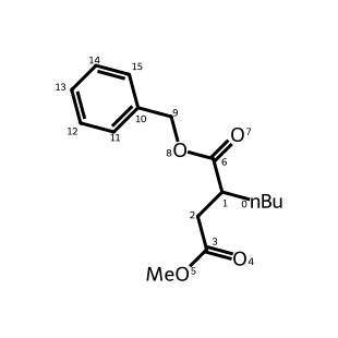 CCCCC(CC(=O)OC)C(=O)OCc1ccccc1